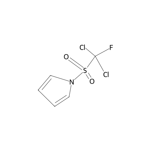 O=S(=O)(n1cccc1)C(F)(Cl)Cl